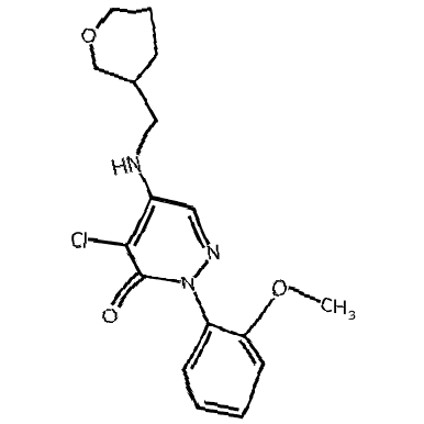 COc1ccccc1-n1ncc(NCC2CCCOC2)c(Cl)c1=O